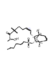 CCCCCCS(=O)(=O)C[C@@H]1[C@H](C/C=C\CCC(C)(C)C(=O)N(C)O)[C@@H]2CC[C@H]1O2